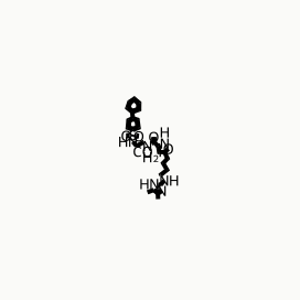 Cc1nc(NCCCCC2CC(C(=O)NCC(NS(=O)(=O)c3ccc(-c4ccccc4)cc3)C(=O)O)NO2)[nH]c1C